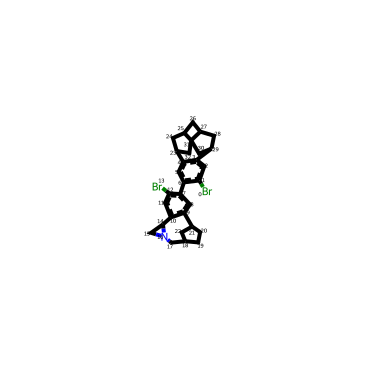 Brc1cc2c(cc1-c1cc3c(cc1Br)C1CN1CC1CCC3C1)C1CC3CC4CC2CC43C1